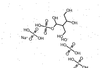 O=S(=O)(O)O.O=S(=O)(O)O.O=S(=O)(O)O.O=S(=O)(O)OC(O)C(CO)C(O)CO.[Na+].[OH-]